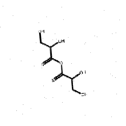 OCC(O)C(=S)OC(=S)C(O)CO